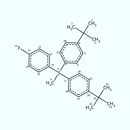 CC(C)(C)c1ccc(S(C)(c2ccc(F)cc2)c2ccc(C(C)(C)C)cc2)cc1